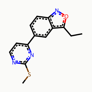 CCc1onc2ccc(-c3ccnc(SC)n3)cc12